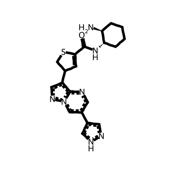 N[C@H]1CCCC[C@@H]1NC(=O)C1=CC(c2cnn3cc(-c4cn[nH]c4)cnc23)CS1